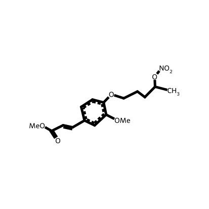 COC(=O)C=Cc1ccc(OCCCC(C)O[N+](=O)[O-])c(OC)c1